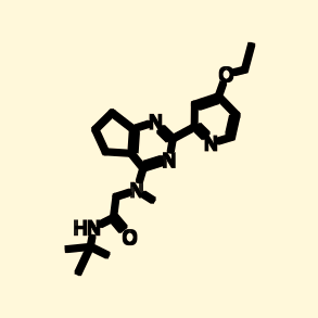 CCOc1ccnc(-c2nc3c(c(N(C)CC(=O)NC(C)(C)C)n2)CCC3)c1